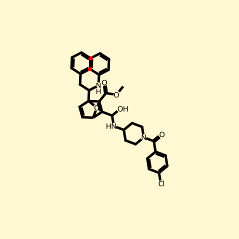 COC(=O)C1=C(C(O)NC2CCN(C(=O)c3ccc(Cl)cc3)CC2)C2C=CC1(C(Cc1ccccc1)Nc1ccccc1)O2